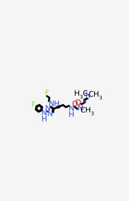 CN(C)C/C=C/C(=O)N(C)CC(=O)NCCCC#Cc1cnc(Nc2ccc(F)cc2)nc1NCCCF